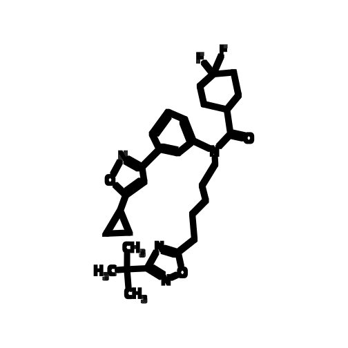 CC(C)(C)c1noc(CCCCCN(C(=O)C2CCC(F)(F)CC2)c2cccc(-c3cc(C4CC4)on3)c2)n1